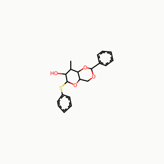 CC1C(O)C(Sc2ccccc2)OC2COC(c3ccccc3)OC21